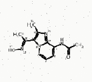 CC(=O)Nc1cccn2c(C(C)=NO)c(C)nc12